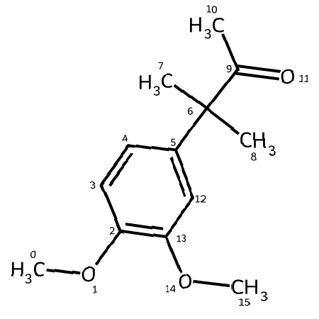 COc1ccc(C(C)(C)C(C)=O)cc1OC